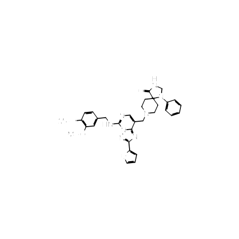 COc1ccc(CNc2ncc(CN3CCC4(CC3)C(=O)NCN4c3ccccc3)c3nc(-c4ccco4)nn23)cc1OC